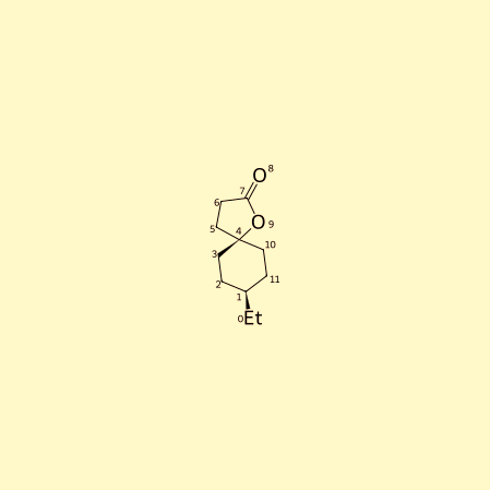 CC[C@H]1CC[C@]2(CCC(=O)O2)CC1